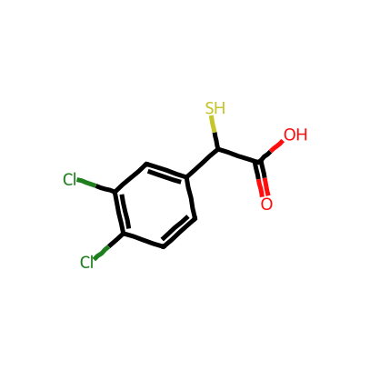 O=C(O)C(S)c1ccc(Cl)c(Cl)c1